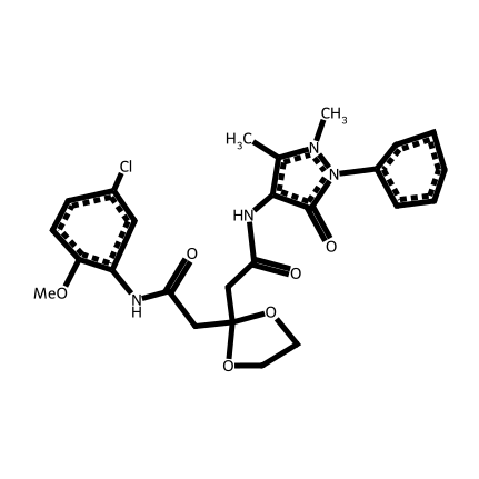 COc1ccc(Cl)cc1NC(=O)CC1(CC(=O)Nc2c(C)n(C)n(-c3ccccc3)c2=O)OCCO1